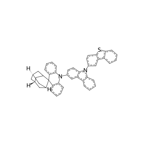 c1ccc2c(c1)N(c1ccc3c(c1)c1ccccc1n3-c1ccc3sc4ccccc4c3c1)c1ccccc1C21C2C[C@H]3C[C@@H](C2)C[C@@H]1C3